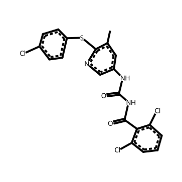 Cc1cc(NC(=O)NC(=O)c2c(Cl)cccc2Cl)cnc1Sc1ccc(Cl)cc1